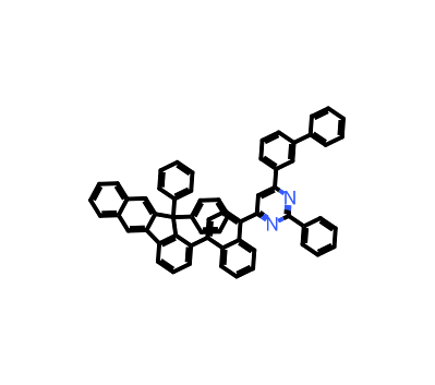 c1ccc(-c2cccc(-c3cc(-c4ccc(-c5cccc6c5C(c5ccccc5)(c5ccccc5)c5cc7ccccc7cc5-6)c5ccccc45)nc(-c4ccccc4)n3)c2)cc1